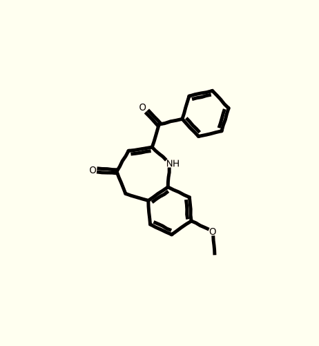 COc1ccc2c(c1)NC(C(=O)c1ccccc1)=CC(=O)C2